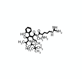 CCC/C(C(=O)N(C)C(=O)[C@@H](N)CCCNC(=N)N)=C(\C(=O)[C@@H](NC(=O)OC(C)(C)C)C(C)C)c1ccccc1O